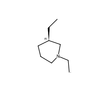 [CH2]CN1CCC[C@@H](CC)C1